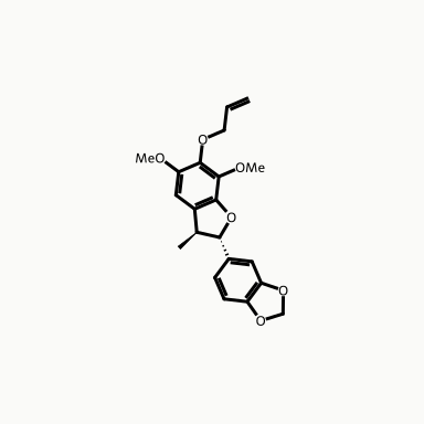 C=CCOc1c(OC)cc2c(c1OC)O[C@H](c1ccc3c(c1)OCO3)[C@H]2C